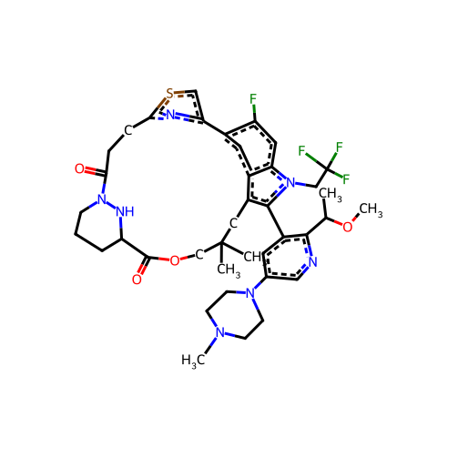 COC(C)c1ncc(N2CCN(C)CC2)cc1-c1c2c3cc(c(F)cc3n1CC(F)(F)F)-c1csc(n1)CCC(=O)N1CCCC(N1)C(=O)OCC(C)(C)C2